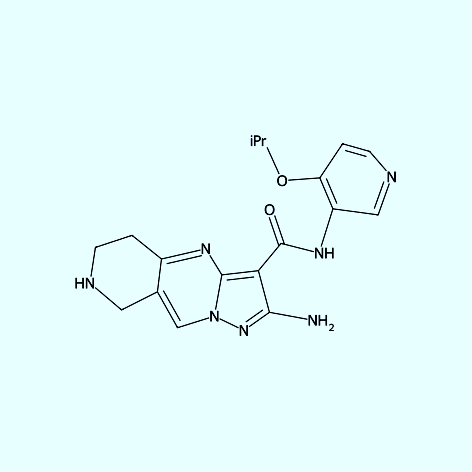 CC(C)Oc1ccncc1NC(=O)c1c(N)nn2cc3c(nc12)CCNC3